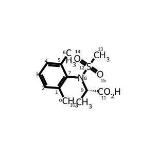 Cc1cccc(C)c1N([C@@H](C)C(=O)O)S(C)(=O)=O